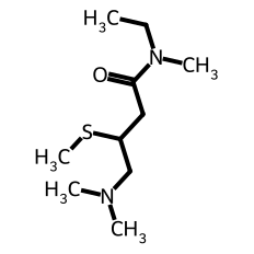 CCN(C)C(=O)CC(CN(C)C)SC